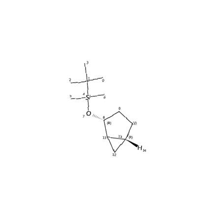 CC(C)(C)[Si](C)(C)O[C@@H]1CC[C@@H]2CC21